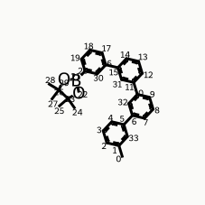 Cc1cccc(-c2cccc(-c3cccc(-c4cccc(B5OC(C)(C)C(C)(C)O5)c4)c3)c2)c1